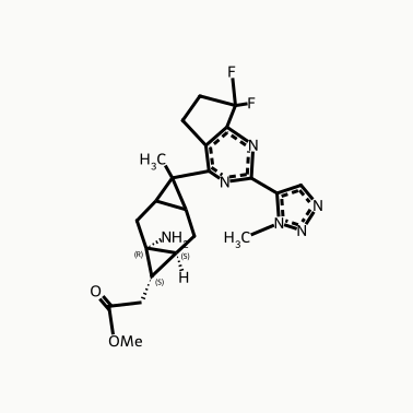 COC(=O)C[C@H]1[C@@H]2CC3C(C[C@]12N)C3(C)c1nc(-c2cnnn2C)nc2c1CCC2(F)F